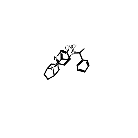 CC(c1ccccc1)[S+]([O-])CC(=O)N1CC2CCC(C1)N2c1ccc(C#N)cn1